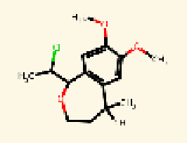 COc1cc2c(cc1OC)C(C)(C)CCOC2C(C)Cl